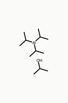 CC(C)O.C[CH](C)[Al]([CH](C)C)[CH](C)C